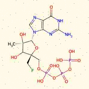 C[C@@]1(O)C(O)[C@@](CF)(COP(=O)(O)OP(=O)(O)OP(=O)(O)O)O[C@H]1n1cnc2c(=O)[nH]c(N)nc21